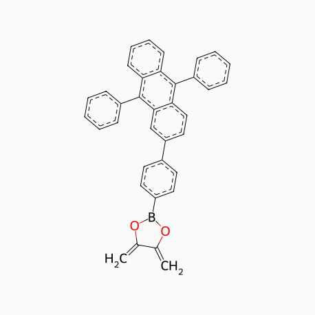 C=C1OB(c2ccc(-c3ccc4c(-c5ccccc5)c5ccccc5c(-c5ccccc5)c4c3)cc2)OC1=C